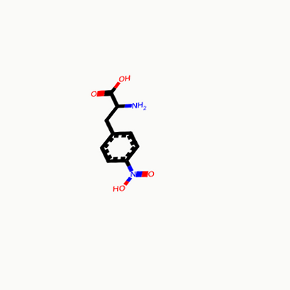 NC(Cc1ccc([N+](=O)O)cc1)C(=O)O